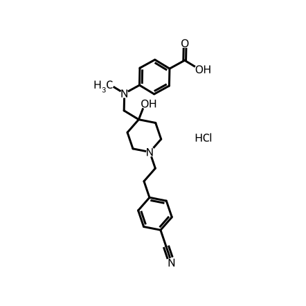 CN(CC1(O)CCN(CCc2ccc(C#N)cc2)CC1)c1ccc(C(=O)O)cc1.Cl